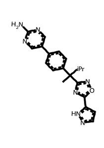 CC(C)C(C)(c1ccc(-c2cnc(N)nc2)cc1)c1noc(-c2ccn[nH]2)n1